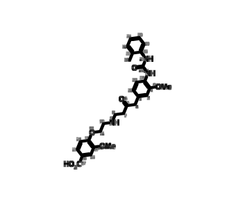 COc1cc(CC(=O)CCNCCOc2ccc(C(=O)O)cc2OC)ccc1NC(=O)Nc1ccccc1C